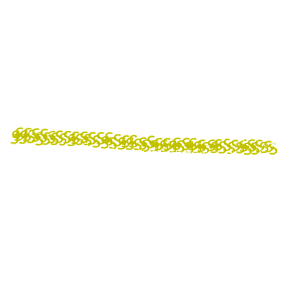 S=S=S=S=S=S=S=S=S=S=S=S=S=S=S=S=S=S=S=S=S=S=S=S=S=S=S=S=S=S=S=S=S=S=S=S=S=S=S=S=S=S=S=S=S=S=S=S=S=S=S=S=S=S=S=S=S=S=S=S=S=S=S